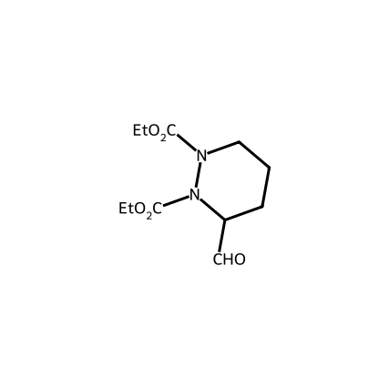 CCOC(=O)N1CCCC(C=O)N1C(=O)OCC